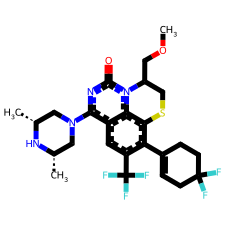 COCC1CSc2c(C3=CCC(F)(F)CC3)c(C(F)(F)F)cc3c(N4C[C@@H](C)N[C@@H](C)C4)nc(=O)n1c23